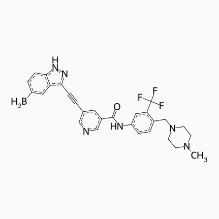 Bc1ccc2[nH]nc(C#Cc3cncc(C(=O)Nc4ccc(CN5CCN(C)CC5)c(C(F)(F)F)c4)c3)c2c1